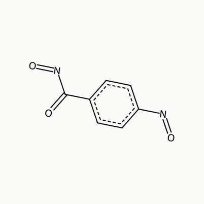 O=NC(=O)c1ccc(N=O)cc1